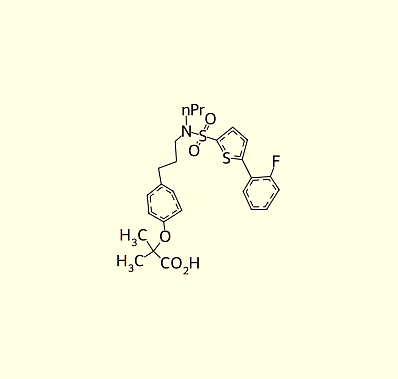 CCCN(CCCc1ccc(OC(C)(C)C(=O)O)cc1)S(=O)(=O)c1ccc(-c2ccccc2F)s1